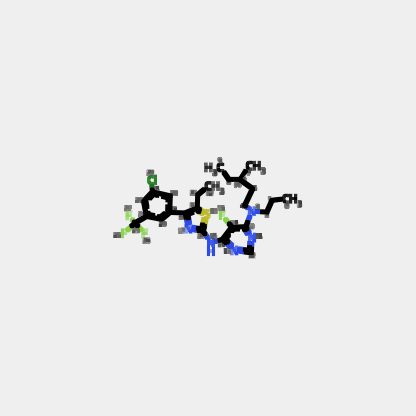 CCCN(CC[C@H](C)CC)c1ncnc(Nc2nc(-c3cc(Cl)cc(C(F)(F)F)c3)c(CC)s2)c1F